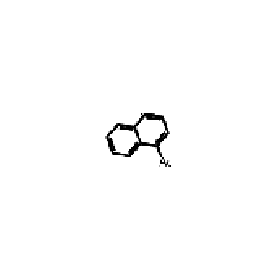 CC(=O)c1cc[c]c2ccccc12